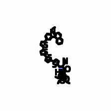 CCO[Si](CNC(=O)/C(C#N)=C/c1ccc(-c2ccc(-c3ccc(-c4ccc(-c5ccc6c(c5)c5c7ccccc7ccc5n6CC)s4)s3)s2)s1)(OCC)OCC